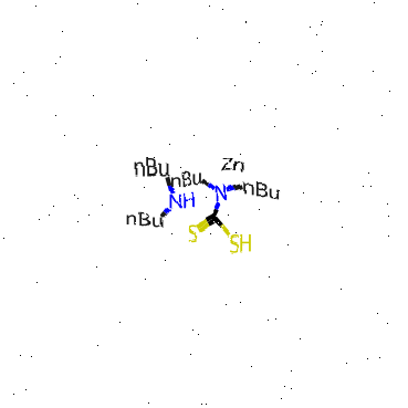 CCCCN(CCCC)C(=S)S.CCCCNCCCC.[Zn]